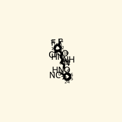 N#CC(NC(=O)c1cc(NC(=O)c2cc(F)c(F)cc2Cl)[nH]n1)c1ccccc1